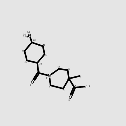 CC1(C(=O)I)CCN(C(=O)C2CCC(N)CC2)CC1